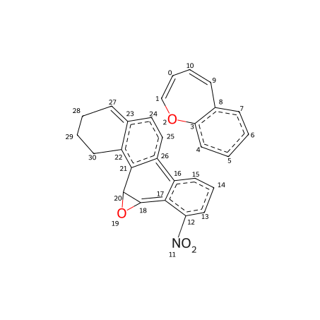 C1=COc2ccccc2C=C1.O=[N+]([O-])c1cccc2c1=C1OC1c1c3c(ccc1=2)=CCCC3